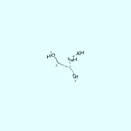 OCCO.[KH].[NaH]